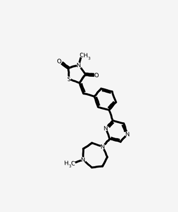 CN1CCCN(c2cncc(-c3cccc(C=C4SC(=O)N(C)C4=O)c3)n2)CC1